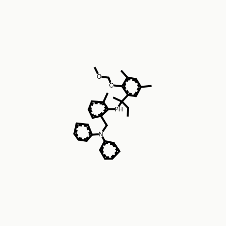 CCC(C)(Pc1c(C)cccc1CN(c1ccccc1)c1ccccc1)c1cc(C)cc(C)c1OCOC